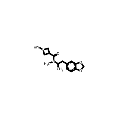 CCCN1CC(C(=O)N(C)C(C)Cc2ccc3c(c2)OCO3)C1